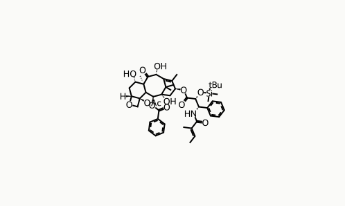 C/C=C(\C)C(=O)N[C@@H](c1ccccc1)[C@@H](O[Si](C)(C)C(C)(C)C)C(=O)O[C@H]1C[C@@]2(O)[C@@H](OC(=O)c3ccccc3)C3[C@](C)(C(=O)[C@H](O)C(=C1C)C2(C)C)[C@@H](O)C[C@H]1OC[C@@]31OC(C)=O